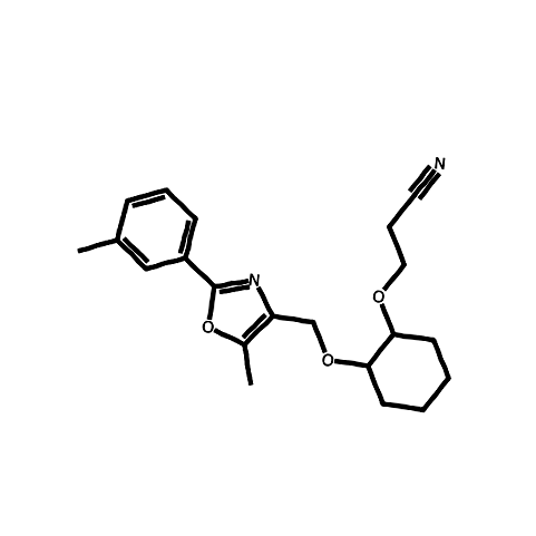 Cc1cccc(-c2nc(COC3CCCCC3OCCC#N)c(C)o2)c1